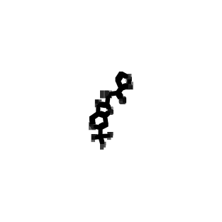 O=C(Nc1nc2cnc(C(F)(F)F)cc2s1)c1ccsn1